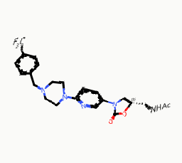 CC(=O)NC[C@H]1CN(c2ccc(N3CCN(Cc4ccc(C(F)(F)F)cc4)CC3)nc2)C(=O)O1